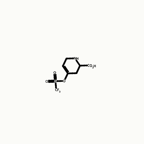 O=C(O)C1CC(OS(=O)(=O)C(F)(F)F)=CCN1